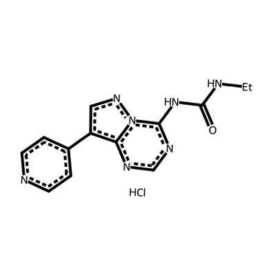 CCNC(=O)Nc1ncnc2c(-c3ccncc3)cnn12.Cl